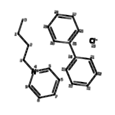 CCCC[n+]1ccccc1.[Cl-].c1ccc(-c2ccccc2)cc1